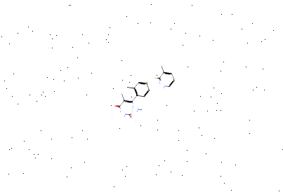 Cc1cc(Sc2ncccc2C)ccc1-c1c(C)c(=O)[nH]c(=O)n1C